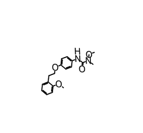 COc1ccccc1CCOc1ccc(NC(=O)N(C)OC)cc1